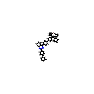 c1ccc(-c2ccc(-c3nc(-c4ccc(-c5ccc6c(c5)-c5ccccc5C65c6ccccc6Sc6ccccc65)cc4)c4ccccc4n3)cc2)cc1